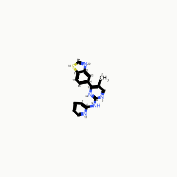 Cc1cnc(Nc2cc[c]cn2)nc1-c1ccc2scnc2c1